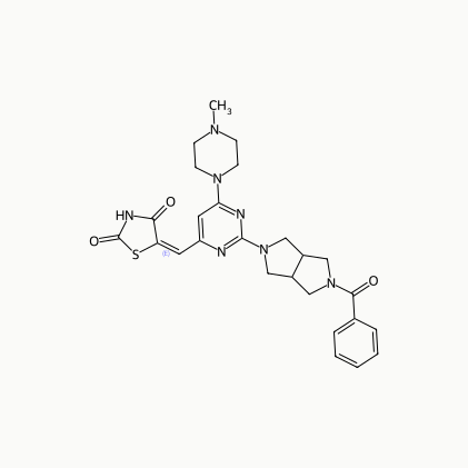 CN1CCN(c2cc(/C=C3/SC(=O)NC3=O)nc(N3CC4CN(C(=O)c5ccccc5)CC4C3)n2)CC1